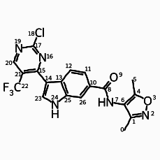 Cc1noc(C)c1NC(=O)c1ccc2c(-c3nc(Cl)ncc3C(F)(F)F)c[nH]c2c1